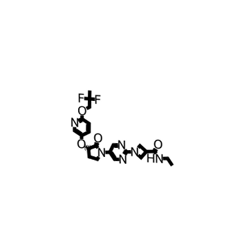 CCNC(=O)C1CN(c2ncc(N3CC[C@@H](Oc4ccc(OCC(C)(F)F)nc4)C3=O)cn2)C1